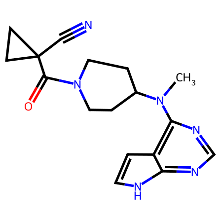 CN(c1ncnc2[nH]ccc12)C1CCN(C(=O)C2(C#N)CC2)CC1